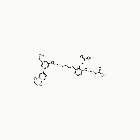 O=C(O)CCCOc1cccc(CCCCCCOc2cc(CO)cc(-c3ccc4c(c3)OCCO4)c2)c1CCC(=O)O